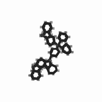 C1=Cc2c(n(C3=CCC([Si](c4ccccc4)(c4ccccc4)c4ccc5[nH]c6ccccc6c5c4)C=C3)c3ccc4oc5ccccc5c4c23)CC1